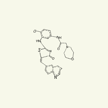 O=C(CN1CCOCC1)Nc1ccc(Cl)c(NC2=NC(=O)C(=Cc3ccc4ncccc4c3)S2)c1